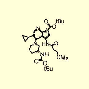 COCCC(=O)Nc1cn(C(=O)OC(C)(C)C)c2ncc(C3CC3)c(N3CCC[C@@H](NC(=O)OC(C)(C)C)C3)c12